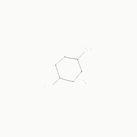 CC1CCC(N)CC1.N